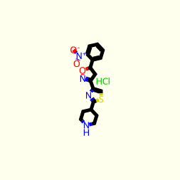 Cl.O=[N+]([O-])c1ccccc1C1CC(c2csc(C3CCNCC3)n2)=NO1